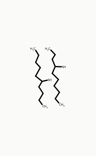 CCCCCC(S)CCCC.CCCCCCC(S)CCC